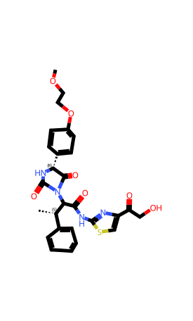 COCCOc1ccc([C@H]2NC(=O)N(C(C(=O)Nc3nc(C(=O)CO)cs3)[C@@H](C)c3ccccc3)C2=O)cc1